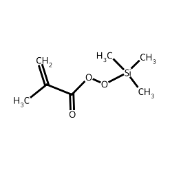 C=C(C)C(=O)OO[Si](C)(C)C